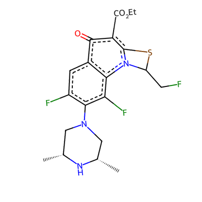 CCOC(=O)c1c2n(c3c(F)c(N4C[C@@H](C)N[C@@H](C)C4)c(F)cc3c1=O)C(CF)S2